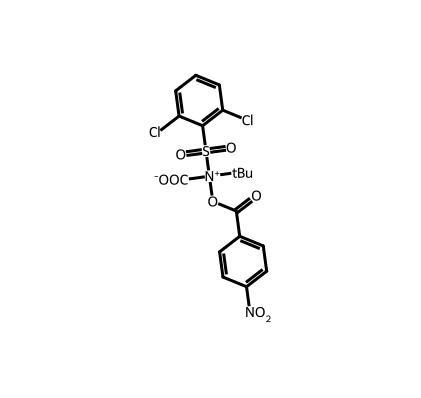 CC(C)(C)[N+](OC(=O)c1ccc([N+](=O)[O-])cc1)(C(=O)[O-])S(=O)(=O)c1c(Cl)cccc1Cl